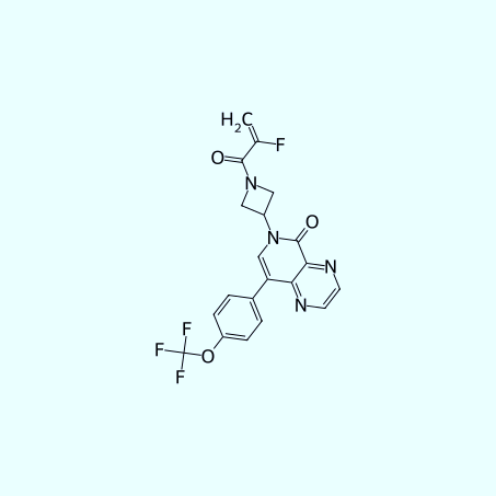 C=C(F)C(=O)N1CC(n2cc(-c3ccc(OC(F)(F)F)cc3)c3nccnc3c2=O)C1